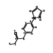 CCC(=O)Cc1ccc(-n2cccn2)cc1